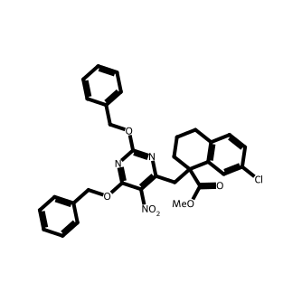 COC(=O)C1(Cc2nc(OCc3ccccc3)nc(OCc3ccccc3)c2[N+](=O)[O-])CCCc2ccc(Cl)cc21